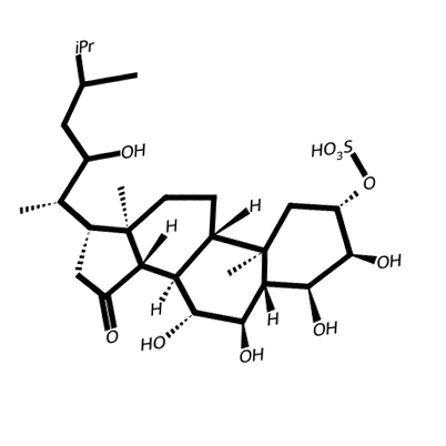 CC(C)C(C)CC(O)[C@@H](C)[C@H]1CC(=O)[C@H]2[C@@H]3[C@@H](O)[C@H](O)[C@H]4[C@H](O)[C@H](O)[C@@H](OS(=O)(=O)O)C[C@]4(C)[C@H]3CC[C@]12C